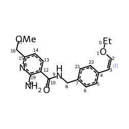 CCO/C=C\c1ccc(CNC(=O)c2ccc(COC)nc2N)cc1